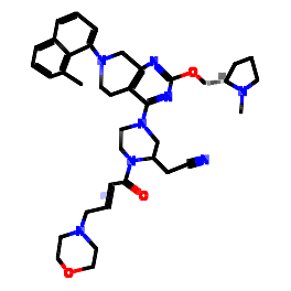 Cc1cccc2cccc(N3CCc4c(nc(OC[C@@H]5CCCN5C)nc4N4CCN(C(=O)/C=C/CN5CCOCC5)C(CC#N)C4)C3)c12